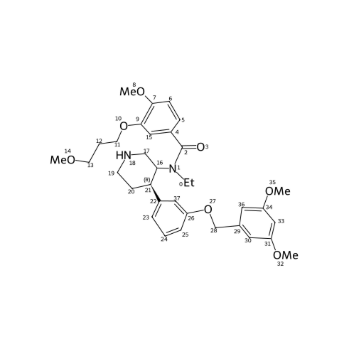 CCN(C(=O)c1ccc(OC)c(OCCCOC)c1)C1CNCC[C@@H]1c1cccc(OCc2cc(OC)cc(OC)c2)c1